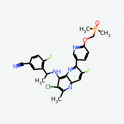 Cc1nc2cc(F)c(-c3ccc(OCP(C)(C)=O)nc3)nc2c(NC(C)c2cc(C#N)ccc2F)c1Cl